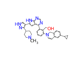 CN1CCC(c2n[nH]cc2-c2cc3c(-c4cccc(N5C=Cc6cc(C7CC7)ccc6C5)c4CO)ncnc3[nH]2)CC1